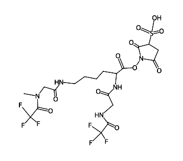 CN(CC(=O)NCCCCC(NC(=O)CNC(=O)C(F)(F)F)C(=O)ON1C(=O)CC(S(=O)(=O)O)C1=O)C(=O)C(F)(F)F